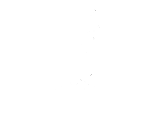 O=C(Nc1ccncc1)Nc1cccc(-c2ccc(C[C@H](NC(=O)OCc3ccccc3)C(=O)O)cc2)c1